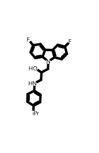 CC(C)c1ccc(NCC(O)Cn2c3ccc(F)cc3c3cc(F)ccc32)cc1